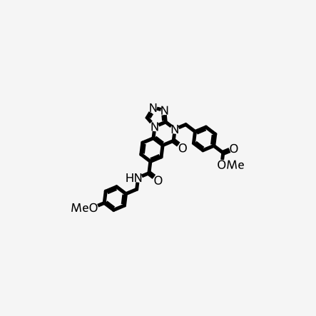 COC(=O)c1ccc(Cn2c(=O)c3cc(C(=O)NCc4ccc(OC)cc4)ccc3n3cnnc23)cc1